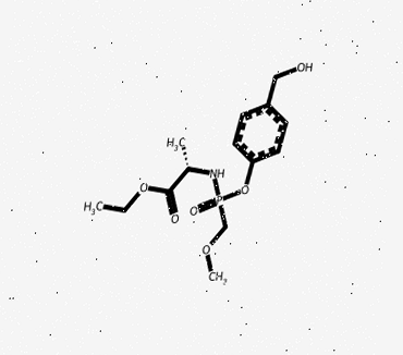 CCOC(=O)[C@H](C)NP(=O)(COC)Oc1ccc(CO)cc1